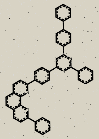 c1ccc(-c2ccc(-c3cc(-c4ccc(-c5ccc6ccc7ccc(-c8ccccc8)nc7c6n5)cc4)nc(-c4ccccc4)n3)cc2)cc1